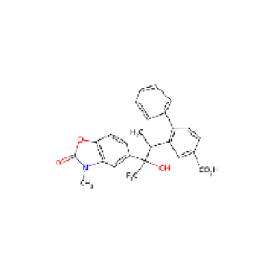 CC(c1cc(C(=O)O)ccc1-c1ccccc1)C(O)(c1ccc2oc(=O)n(C)c2c1)C(F)(F)F